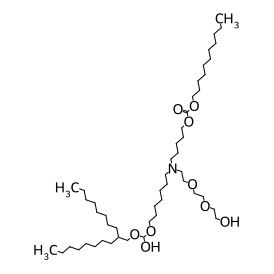 CCCCCCCCCCCOC(=O)OCCCCCN(CCCCCCCOC(O)OCC(CCCCCCCC)CCCCCCCC)CCOCCOCCO